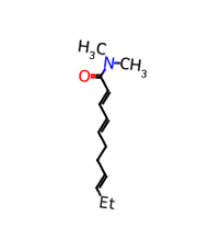 CCC=CCCC=CC=CC(=O)N(C)C